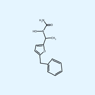 CC(c1ccc(Cc2ccccc2)o1)N(O)C(N)=O